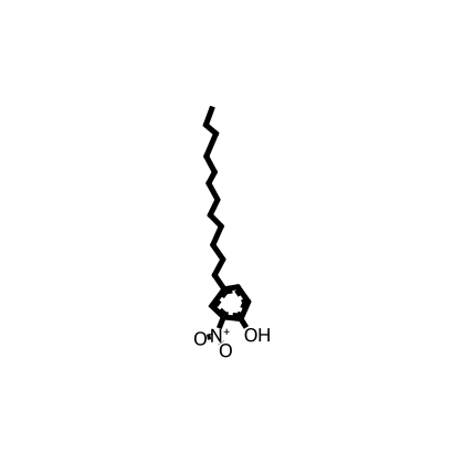 CCCCCCCCCCCCc1ccc(O)c([N+](=O)[O-])c1